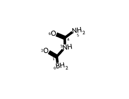 BC(=O)NC(N)=O